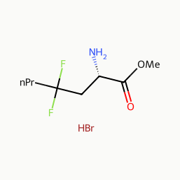 Br.CCCC(F)(F)C[C@H](N)C(=O)OC